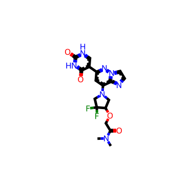 CN(C)C(=O)COC1CN(c2cc(-c3c[nH]c(=O)[nH]c3=O)nn3ccnc23)CC1(F)F